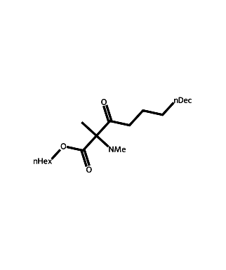 CCCCCCCCCCCCCC(=O)C(C)(NC)C(=O)OCCCCCC